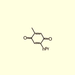 CCCC1=CC(=O)C(C)=CC1=O